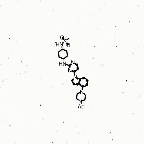 CC(=O)N1CCN(c2cccc3c2ccn3-c2ccnc(N[C@H]3CC[C@H](NS(C)(=O)=O)CC3)n2)CC1